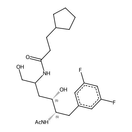 CC(=O)N[C@@H](Cc1cc(F)cc(F)c1)[C@@H](O)CC(CO)NC(=O)CCC1CCCC1